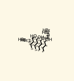 Br.Br.Br.Br.CCCCO.CCCCO.CCCCO.CCCCO.[Ti].[Ti].[Ti]